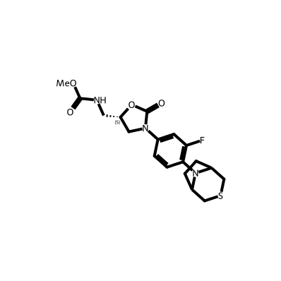 COC(=O)NC[C@H]1CN(c2ccc(N3C4CCC3CSC4)c(F)c2)C(=O)O1